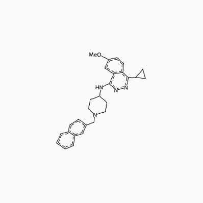 COc1ccc2c(C3CC3)nnc(NC3CCN(Cc4ccc5ccccc5c4)CC3)c2c1